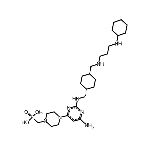 Nc1cc(N2CCN(CP(=O)(O)O)CC2)nc(NC[C@H]2CC[C@H](CNCCCNC3CCCCC3)CC2)n1